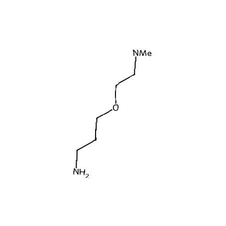 CNCCOCCCN